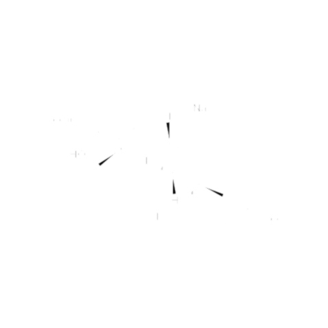 C[C@]12CCC(=O)C=C1CC[C@@H]1[C@H]2C(O)C[C@@]2(C)[C@H]1CCC2(O)C(=O)[O-].[Na+]